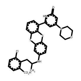 CC(Cc1c(Cl)cccc1C(=O)O)Nc1ccc2c(c1)Sc1cccc(-c3cc(N4CCOCC4)cc(=O)[nH]3)c1S2